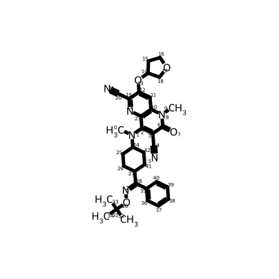 CN(c1c(C#N)c(=O)n(C)c2cc(OC3CCOC3)c(C#N)nc12)C1CCC(/C(=N/OC(C)(C)C)c2ccccc2)CC1